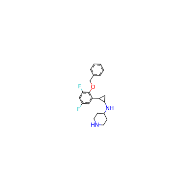 Fc1cc(F)c(OCc2ccccc2)c(C2CC2NC2CCNCC2)c1